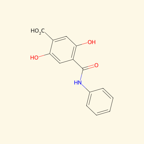 O=C(O)c1cc(O)c(C(=O)Nc2ccccc2)cc1O